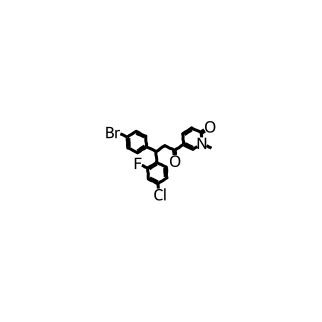 Cn1cc(C(=O)CC(c2ccc(Br)cc2)c2ccc(Cl)cc2F)ccc1=O